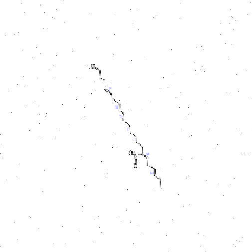 CC/C=C/C/C=C(/C/C=C/C=C/C=C/C=C/C/C=C/CC[C]=O)[N+](=O)[O-]